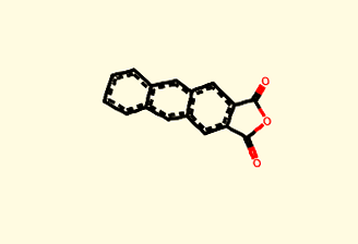 O=C1OC(=O)c2cc3cc4ccccc4cc3cc21